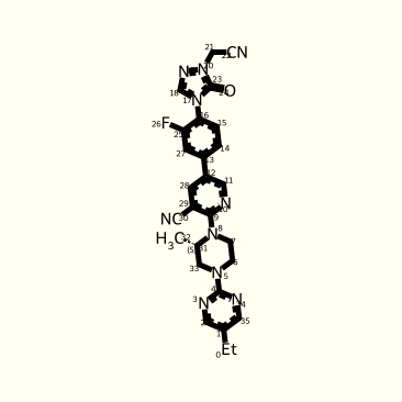 CCc1cnc(N2CCN(c3ncc(-c4ccc(-n5cnn(CC#N)c5=O)c(F)c4)cc3C#N)[C@@H](C)C2)nc1